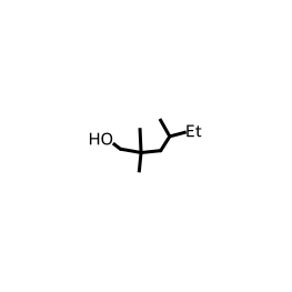 CCC(C)CC(C)(C)CO